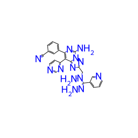 N#Cc1cccc(-c2nc(N)n3nc(CN(N)/C(=N\N)c4cccnc4)nc3c2-c2ccncn2)c1